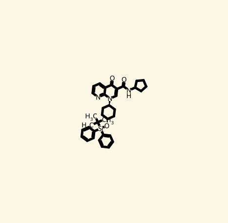 CC(C)(C)[Si](O[C@H]1CC[C@H](n2cc(C(=O)NC3CCCC3)c(=O)c3cccnc32)CC1)(c1ccccc1)c1ccccc1